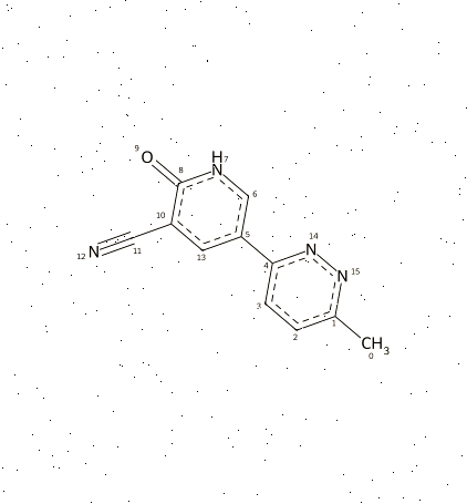 Cc1ccc(-c2c[nH]c(=O)c(C#N)c2)nn1